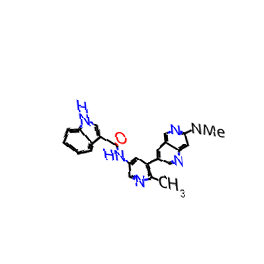 CNc1cc2ncc(-c3cc(NC(=O)c4c[nH]c5ccccc45)cnc3C)cc2cn1